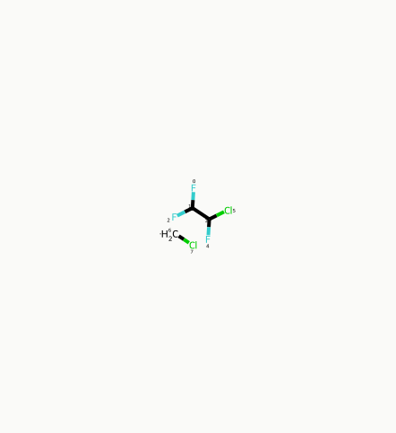 F[C](F)C(F)Cl.[CH2]Cl